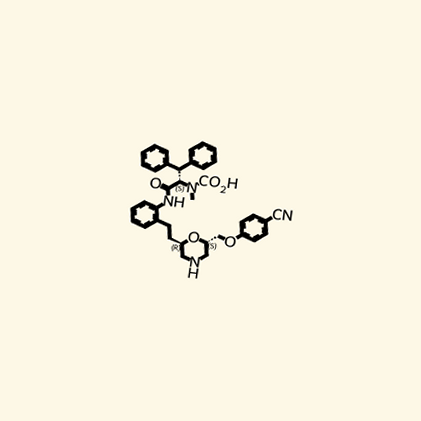 CN(C(=O)O)[C@H](C(=O)Nc1ccccc1CC[C@@H]1CNC[C@@H](COc2ccc(C#N)cc2)O1)C(c1ccccc1)c1ccccc1